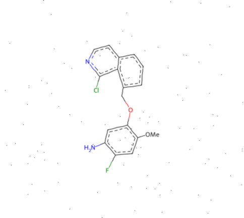 COc1cc(F)c(N)cc1OCc1cccc2ccnc(Cl)c12